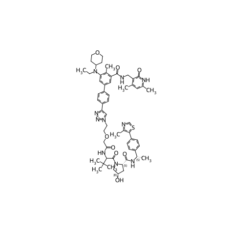 CCN(c1cc(-c2ccc(-c3cn(CCOCC(=O)NC(C(=O)N4C[C@H](O)C[C@H]4C(=O)N[C@@H](C)c4ccc(-c5scnc5C)cc4)C(C)(C)C)nn3)cc2)cc(C(=O)NCc2c(C)cc(C)[nH]c2=O)c1C)C1CCOCC1